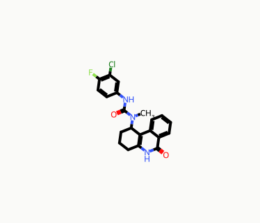 CN(C(=O)Nc1ccc(F)c(Cl)c1)C1CCCc2[nH]c(=O)c3ccccc3c21